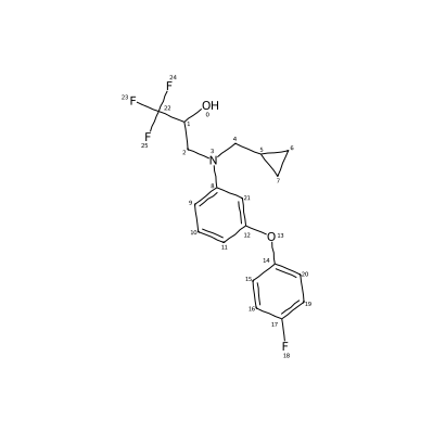 OC(CN(CC1CC1)c1cccc(Oc2ccc(F)cc2)c1)C(F)(F)F